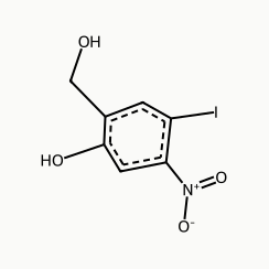 O=[N+]([O-])c1cc(O)c(CO)cc1I